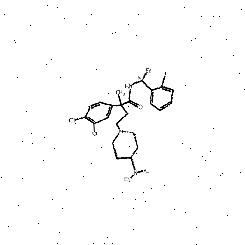 CC[C@H](NC(=O)C(C)(CCN1CCC(N(CC)C(C)=O)CC1)c1ccc(Cl)c(Cl)c1)c1ccccc1I